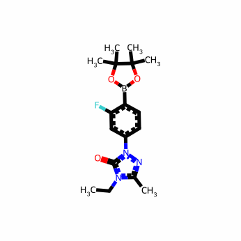 CCn1c(C)nn(-c2ccc(B3OC(C)(C)C(C)(C)O3)c(F)c2)c1=O